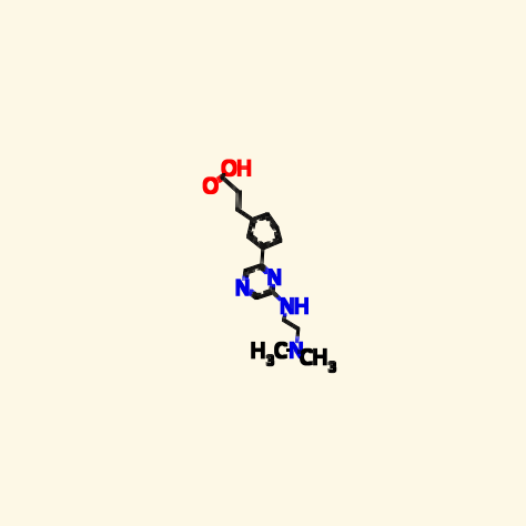 CN(C)CCNc1cncc(-c2cccc(C=CC(=O)O)c2)n1